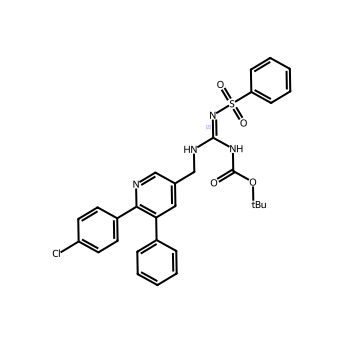 CC(C)(C)OC(=O)N/C(=N\S(=O)(=O)c1ccccc1)NCc1cnc(-c2ccc(Cl)cc2)c(-c2ccccc2)c1